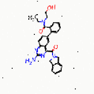 CCN(CCO)C(=O)c1ccccc1-c1ccc2nc(N)nc(C(=O)N3Cc4ccccc4C3)c2c1